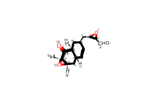 O=C[C@@H]1O[C@@H]1C[C@H]1C=C[C@@H]2C[C@H]3O[C@H]3C(=O)[C@H]2C1